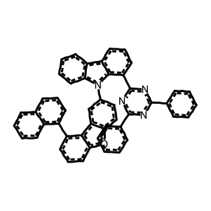 c1ccc(-c2nc(-c3ccccc3)nc(-c3cccc4c5ccccc5n(-c5ccc6oc7cccc(-c8cccc9ccccc89)c7c6c5)c34)n2)cc1